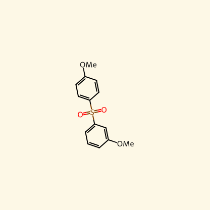 COc1ccc(S(=O)(=O)c2cccc(OC)c2)cc1